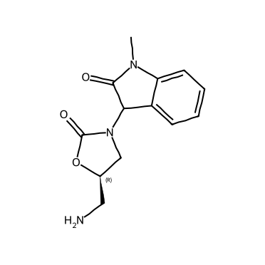 CN1C(=O)C(N2C[C@@H](CN)OC2=O)c2ccccc21